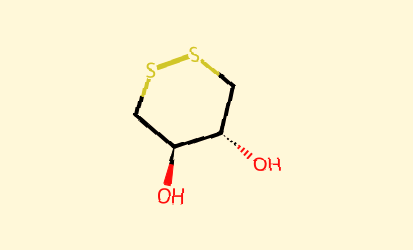 O[C@H]1CSSC[C@@H]1O